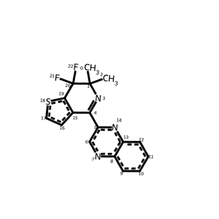 CC1(C)N=C(c2cnc3ccccc3n2)c2ccsc2C1(F)F